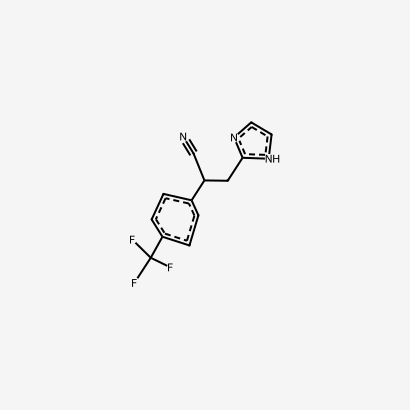 N#CC(Cc1ncc[nH]1)c1ccc(C(F)(F)F)cc1